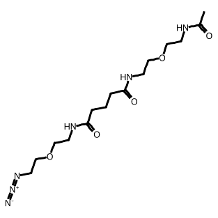 CC(=O)NCCOCCNC(=O)CCCC(=O)NCCOCCN=[N+]=[N-]